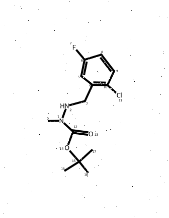 CN(NCc1cc(F)ccc1Cl)C(=O)OC(C)(C)C